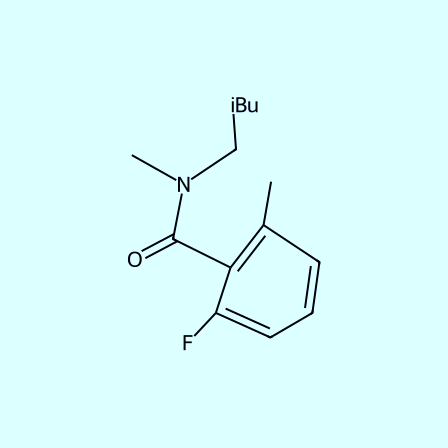 CCC(C)CN(C)C(=O)c1c(C)cccc1F